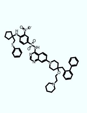 O=[N+]([O-])c1cc(S(=O)(=O)Nc2ncnc3cc(N4CCC(Cc5ccccc5-c5ccccc5)(OCCN5CCCCC5)CC4)ccc23)ccc1NC1(CSc2ccccc2)CCCC1